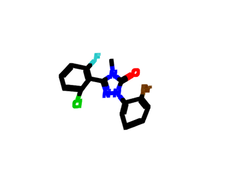 Cn1c(-c2c(F)cccc2Cl)nn(-c2ccccc2Br)c1=O